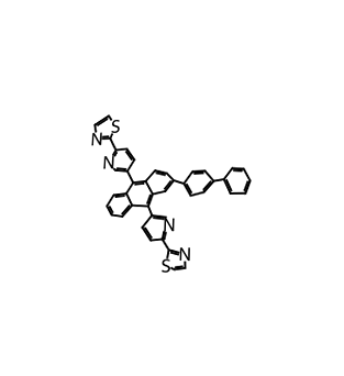 c1ccc(-c2ccc(-c3ccc4c(-c5ccc(-c6nccs6)nc5)c5ccccc5c(-c5ccc(-c6nccs6)nc5)c4c3)cc2)cc1